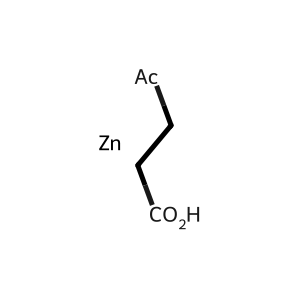 CC(=O)CCC(=O)O.[Zn]